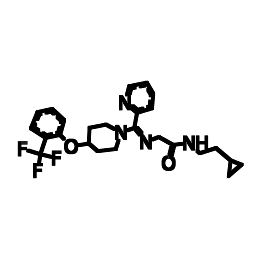 O=C(C/N=C(\c1ccccn1)N1CCC(Oc2ccccc2C(F)(F)F)CC1)NCCC1CC1